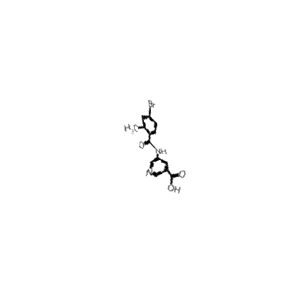 Cc1cc(Br)ccc1C(=O)Nc1cncc(C(=O)O)c1